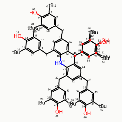 CC(C)(C)c1cc(Cc2cc(Cc3cc(C(C)(C)C)c(O)c(C(C)(C)C)c3)c(Nc3c(Cc4cc(C(C)(C)C)c(O)c(C(C)(C)C)c4)cc(Cc4cc(C(C)(C)C)c(O)c(C(C)(C)C)c4)cc3Cc3cc(C(C)(C)C)c(O)c(C(C)(C)C)c3)c(Cc3cc(C(C)(C)C)c(O)c(C(C)(C)C)c3)c2)cc(C(C)(C)C)c1O